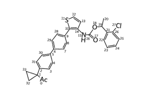 CC(=O)C1(c2ccc(-c3ccc(-c4sccc4NC(=O)OC(C)c4ccccc4Cl)cc3)cc2)CC1